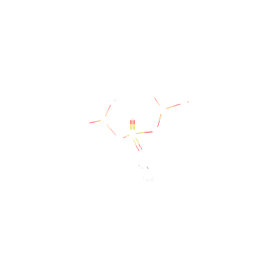 O=S(=O)(OP(O)O)OP(O)O.[NaH].[NaH]